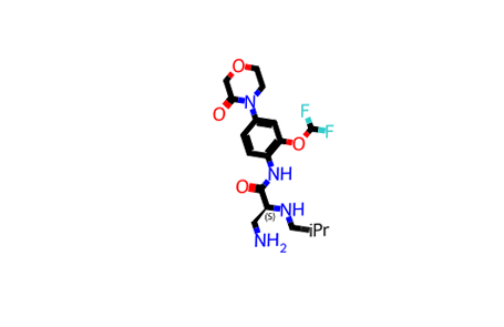 CC(C)CN[C@@H](CN)C(=O)Nc1ccc(N2CCOCC2=O)cc1OC(F)F